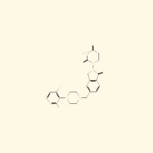 O=C1CCN(N2Cc3cc(CN4CCN(c5c(Cl)ccnc5Cl)CC4)ccc3C2=O)C(=O)N1